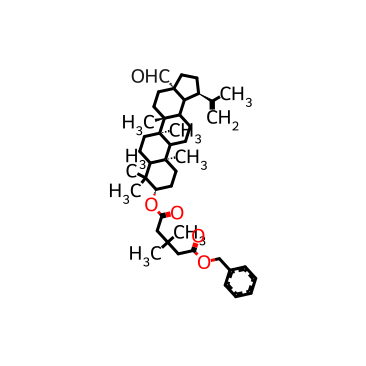 C=C(C)[C@@H]1CC[C@]2(C=O)CC[C@]3(C)C(CCC4[C@@]5(C)CC[C@H](OC(=O)CC(C)(C)CC(=O)OCc6ccccc6)C(C)(C)C5CC[C@]43C)C12